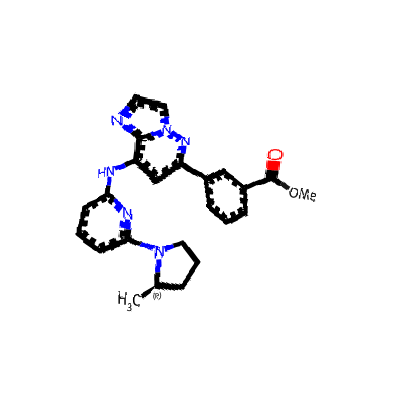 COC(=O)c1cccc(-c2cc(Nc3cccc(N4CCC[C@H]4C)n3)c3nccn3n2)c1